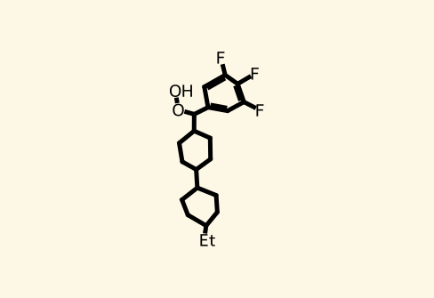 CCC1CCC(C2CCC(C(OO)c3cc(F)c(F)c(F)c3)CC2)CC1